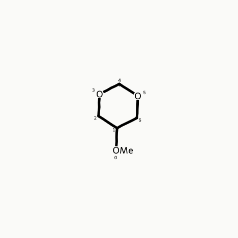 COC1CO[CH]OC1